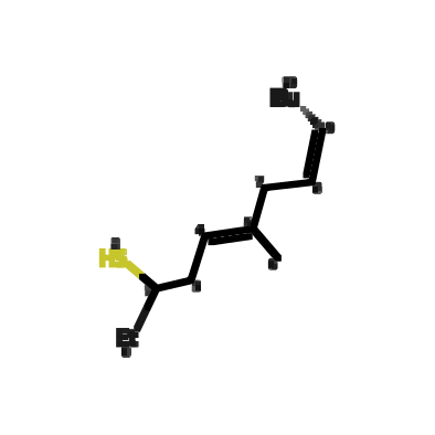 CCC(S)C/C=C(\C)C/C=C\[C@@H](C)CC